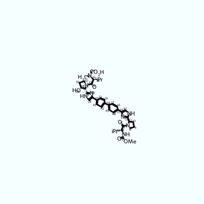 COC(=O)N[C@H](C(=O)N1CCCC1c1nc(-c2ccc(-c3ccc(-c4c[nH]c([C@@H]5[C@@H](O)CCN5C(=O)[C@H](C(C)C)N(C)C(=O)O)n4)cc3)cc2)c[nH]1)C(C)C